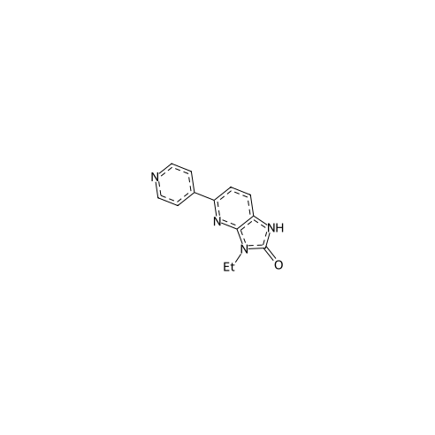 CCn1c(=O)[nH]c2ccc(-c3ccncc3)nc21